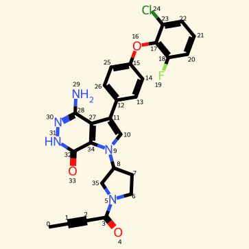 CC#CC(=O)N1CCC(n2cc(-c3ccc(Oc4c(F)cccc4Cl)cc3)c3c(N)n[nH]c(=O)c32)C1